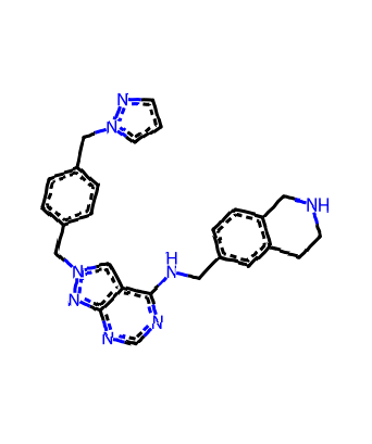 c1cnn(Cc2ccc(Cn3cc4c(NCc5ccc6c(c5)CCNC6)ncnc4n3)cc2)c1